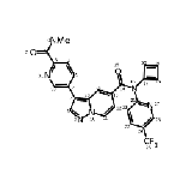 CNC(=O)c1ccc(-c2cnn3ccc(C(=O)N(C4=CC=C4)c4ccc(C(F)(F)F)cn4)cc23)cn1